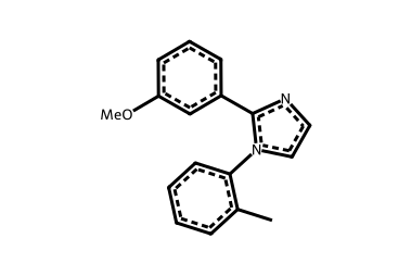 COc1cccc(-c2nccn2-c2ccccc2C)c1